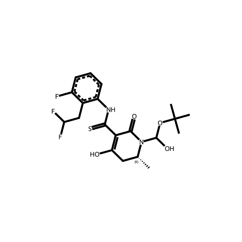 C[C@@H]1CC(O)=C(C(=S)Nc2cccc(F)c2CC(F)F)C(=O)N1C(O)OC(C)(C)C